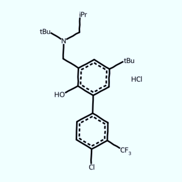 CC(C)CN(Cc1cc(C(C)(C)C)cc(-c2ccc(Cl)c(C(F)(F)F)c2)c1O)C(C)(C)C.Cl